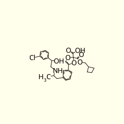 CC(Cc1cccc(C2=COC(C(=O)O)(C(=O)OCC3CCC3)O2)c1)NCC(O)c1cccc(Cl)c1